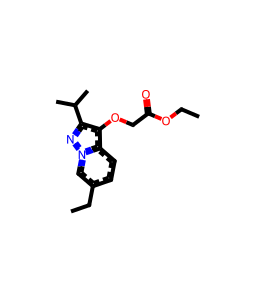 CCOC(=O)COc1c(C(C)C)nn2cc(CC)ccc12